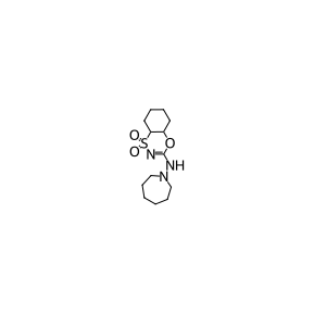 O=S1(=O)N=C(NN2CCCCCC2)OC2CCCCC21